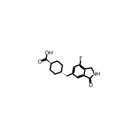 O=C1NCc2c(F)cc(C[C@H]3CC[C@H](C(=O)O)CC3)cc21